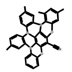 Cc1cc(C)c2c(c1)Oc1c(C#N)c3c4c5c1B2c1cc(C)ccc1N5c1ccc(C)cc1B4c1ccccc1O3